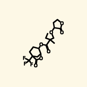 CCC(C)(COC1CCOC1=O)C(=O)OC1CCC2(C(F)(F)F)CC1OC2=O